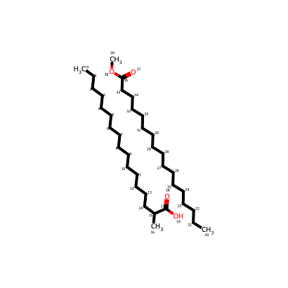 CCCCCCCCCCCCCCCC(C)C(=O)O.CCCCCCCCCCCCCCCCC(=O)OC